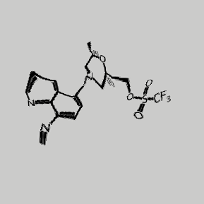 C=Nc1ccc(N2C[C@H](COS(=O)(=O)C(F)(F)F)O[C@H](C)C2)c2cccnc12